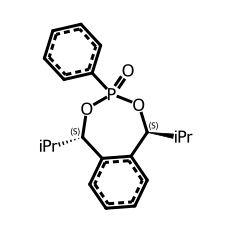 CC(C)[C@@H]1OP(=O)(c2ccccc2)O[C@@H](C(C)C)c2ccccc21